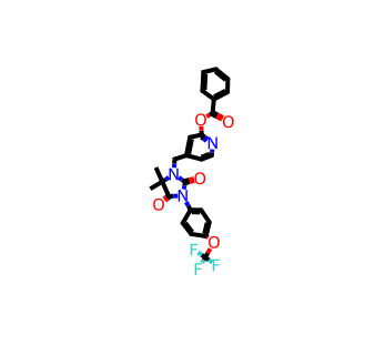 CC1(C)C(=O)N(c2ccc(OC(F)(F)F)cc2)C(=O)N1Cc1ccnc(OC(=O)c2ccccc2)c1